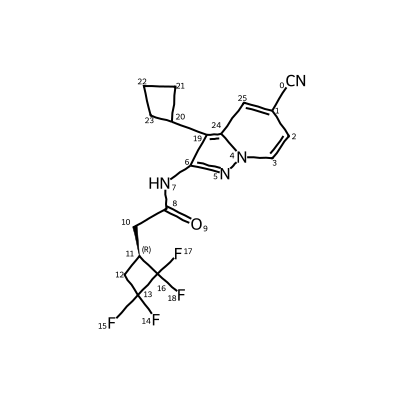 N#Cc1ccn2nc(NC(=O)C[C@@H]3CC(F)(F)C3(F)F)c(C3CCC3)c2c1